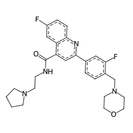 O=C(NCCN1CCCC1)c1cc(-c2ccc(CN3CCOCC3)c(F)c2)nc2ccc(F)cc12